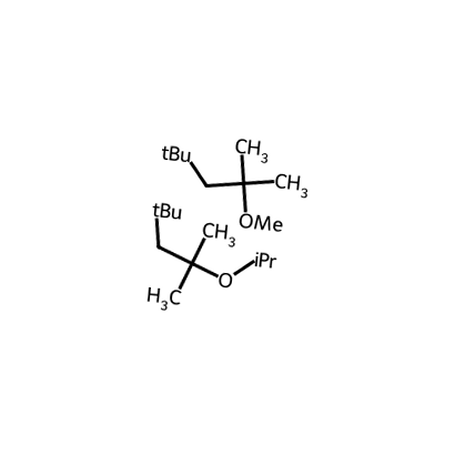 CC(C)OC(C)(C)CC(C)(C)C.COC(C)(C)CC(C)(C)C